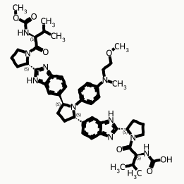 COCCN(C)c1ccc(N2[C@H](c3ccc4nc([C@@H]5CCCN5C(=O)[C@@H](NC(=O)O)C(C)C)[nH]c4c3)CC[C@H]2c2ccc3nc([C@@H]4CCCN4C(=O)[C@@H](NC(=O)OC)C(C)C)[nH]c3c2)cc1